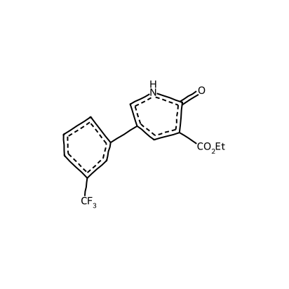 CCOC(=O)c1cc(-c2cccc(C(F)(F)F)c2)c[nH]c1=O